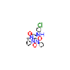 O=c1c2c(Nc3ccc(Cl)cc3)cc(=O)n(C3CC3)c2n(-c2ccccc2)c(=O)n1-c1ccccc1